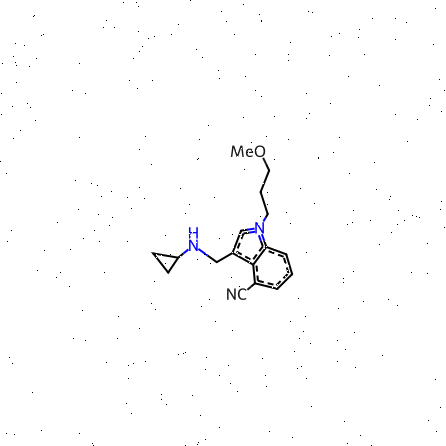 COCCCn1cc(CNC2CC2)c2c(C#N)cccc21